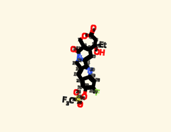 CC[C@@]1(O)CC(=O)OCc2c1cc1n(c2=O)Cc2cc3cc(OS(=O)(=O)C(F)(F)F)c(F)cc3nc2-1